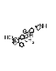 Cc1cc(N(CC(=O)O)C(=O)c2ccccc2)ccc1NC(=O)c1ccc(N2CCNCC2)cc1